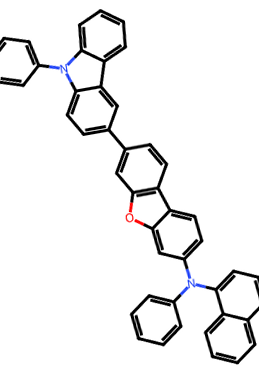 c1ccc(N(c2ccc3c(c2)oc2cc(-c4ccc5c(c4)c4ccccc4n5-c4ccccc4)ccc23)c2cccc3ccccc23)cc1